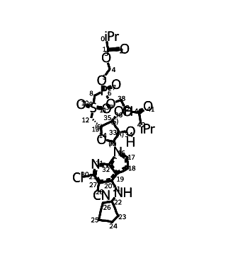 CC(C)C(=O)OCOP(=O)(CS(=O)(=O)C[C@H]1O[C@@H](n2ccc3c(NC4CCCC4)c(C#N)c(Cl)nc32)[C@H](O)[C@@H]1O)OCOC(=O)C(C)C